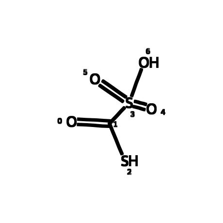 O=C(S)S(=O)(=O)O